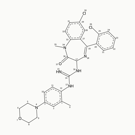 Cc1cc(N2CCOCC2)ccc1NC(=N)NC1N=C(c2ccccc2Cl)c2cc(Cl)ccc2N(C)C1=O